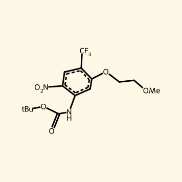 COCCOc1cc(NC(=O)OC(C)(C)C)c([N+](=O)[O-])cc1C(F)(F)F